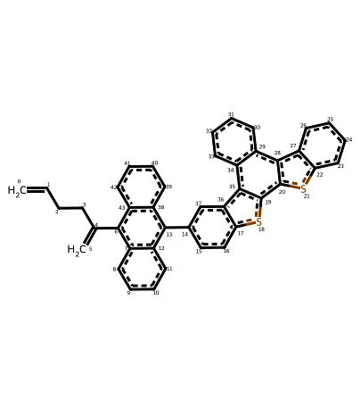 C=CCCC(=C)c1c2ccccc2c(-c2ccc3sc4c5sc6ccccc6c5c5ccccc5c4c3c2)c2ccccc12